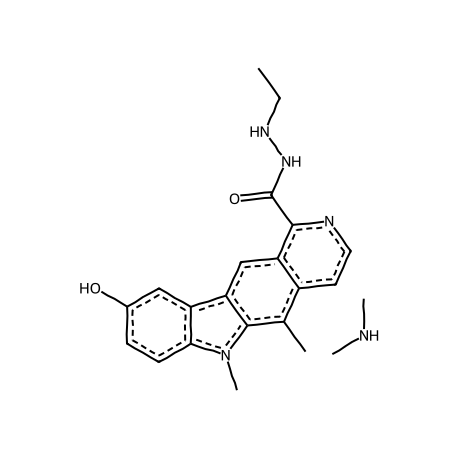 CCNNC(=O)c1nccc2c(C)c3c(cc12)c1cc(O)ccc1n3C.CNC